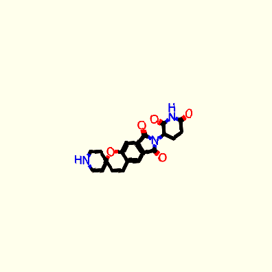 O=C1CCC(N2C(=O)c3cc4c(cc3C2=O)OC2(CCNCC2)CC4)C(=O)N1